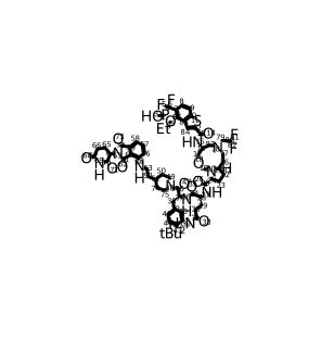 CCOP(O)C(F)(F)c1ccc2sc(C(=O)N[C@@H]3COCN4[C@H](CC[C@H]4C(=O)N[C@@H](CCC(N)=O)C(=O)N[C@@H](Cc4ccc(C(C)(C)C)cc4)C(=O)N4CCC(CCNc5cccc6c5C(=O)N(C5CCC(=O)NC5=O)C6=O)CC4)CCN(CC(F)F)C3)cc2c1